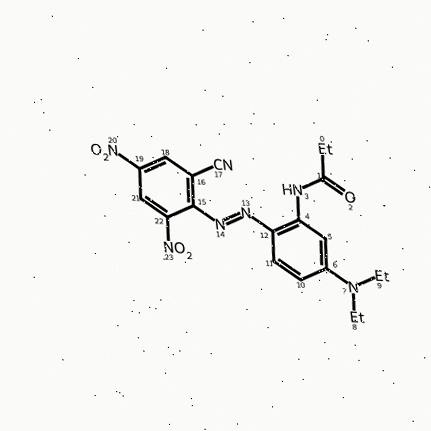 CCC(=O)Nc1cc(N(CC)CC)ccc1/N=N/c1c(C#N)cc([N+](=O)[O-])cc1[N+](=O)[O-]